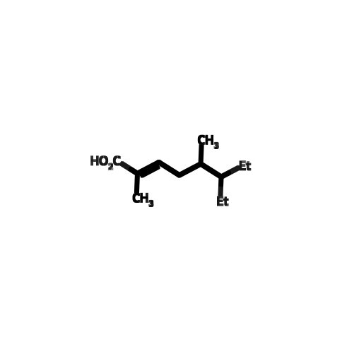 CCC(CC)C(C)CC=C(C)C(=O)O